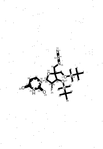 CC(C)(C)[Si](C)(C)OCC1(CN=[N+]=[N-])O[C@@H](n2ccc(=O)[nH]c2=O)[C@H](F)C1O[Si](C)(C)C(C)(C)C